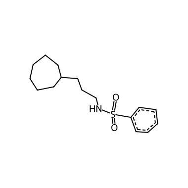 O=S(=O)(NCCCC1CCCCCC1)c1ccccc1